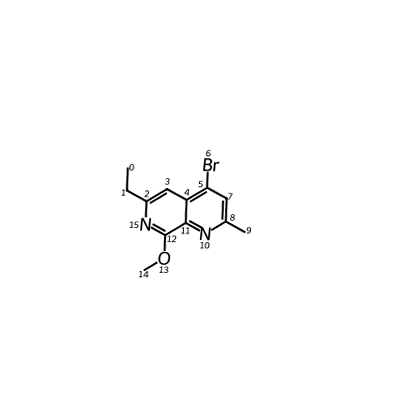 CCc1cc2c(Br)cc(C)nc2c(OC)n1